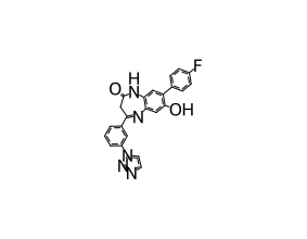 O=C1CC(c2cccc(-n3ccnn3)c2)=Nc2cc(O)c(-c3ccc(F)cc3)cc2N1